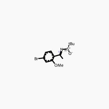 COc1cc(Br)ccc1/C(C)=N/[S@+]([O-])C(C)(C)C